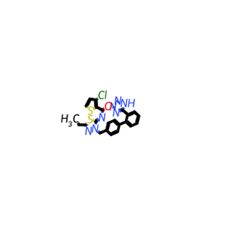 CCc1nn(Cc2ccc(-c3ccccc3-c3nnn[nH]3)cc2)c(=NC(=O)c2sccc2Cl)s1